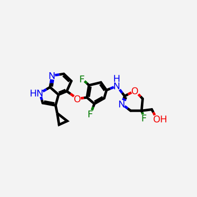 OCC1(F)CN=C(Nc2cc(F)c(Oc3ccnc4[nH]cc(C5CC5)c34)c(F)c2)OC1